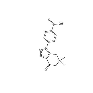 CC1(C)CC(=O)c2cnn(-c3ccc(C(=O)O)cc3)c2C1